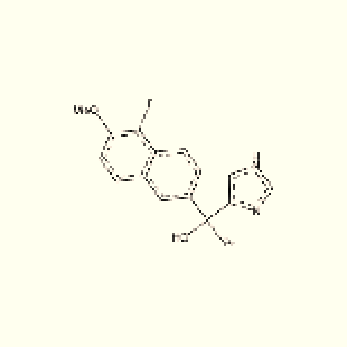 COc1ccc2cc(C(O)(c3c[nH]cn3)C(C)C)ccc2c1F